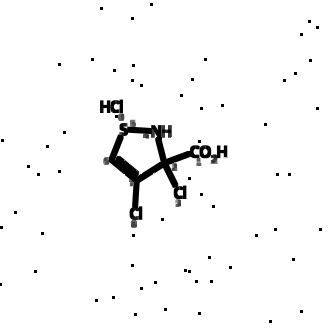 Cl.O=C(O)C1(Cl)NSC=C1Cl